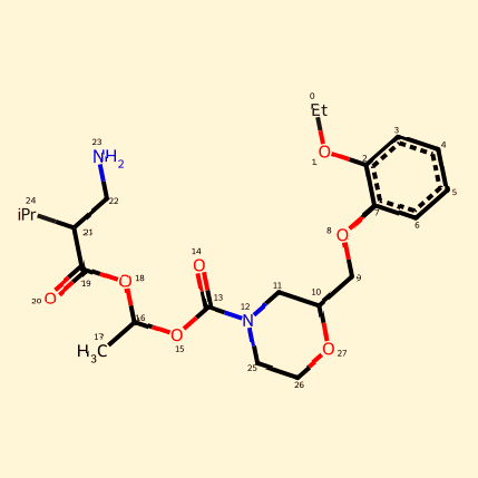 CCOc1ccccc1OCC1CN(C(=O)OC(C)OC(=O)C(CN)C(C)C)CCO1